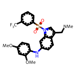 CNCc1cn(S(=O)(=O)c2cccc(C(F)(F)F)c2)c2cc(Nc3ccc(OC)cc3OC)ccc12